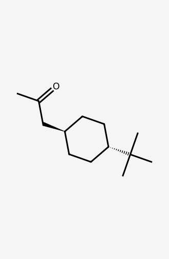 CC(=O)C[C@H]1CC[C@H](C(C)(C)C)CC1